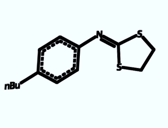 CCCCc1ccc(N=C2SCCS2)cc1